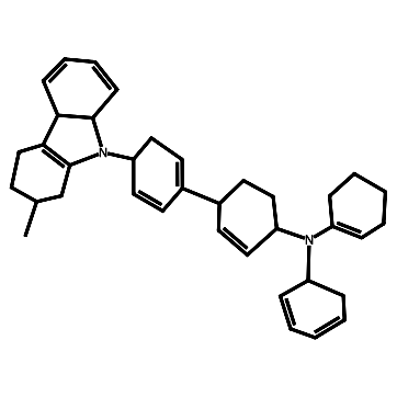 CC1CCC2=C(C1)N(C1C=CC(C3C=CC(N(C4=CCCCC4)C4C=CC=CC4)CC3)=CC1)C1C=CC=CC21